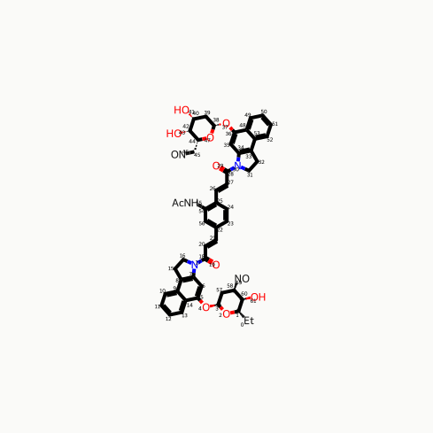 CC[C@H]1O[C@@H](Oc2cc3c(c4ccccc24)CCN3C(=O)/C=C/c2ccc(/C=C/C(=O)N3CCc4c3cc(O[C@H]3C[C@@H](O)[C@@H](O)[C@@H](CN=O)O3)c3ccccc43)c(NC(C)=O)c2)C[C@@H](N=O)[C@H]1O